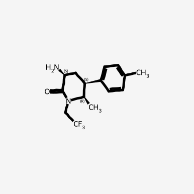 Cc1ccc([C@@H]2C[C@H](N)C(=O)N(CC(F)(F)F)[C@@H]2C)cc1